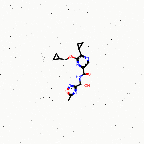 Cc1nc([C@@H](O)NC(=O)c2cnc(C3CC3)c(OCC3CC3)n2)no1